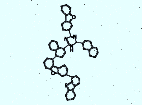 c1ccc2cc(C3N=C(c4ccc5c(c4)oc4ccccc45)N=C(c4ccc(-c5cccc6oc7cc(-c8cccc9c8sc8ccccc89)ccc7c56)c5ccccc45)N3)ccc2c1